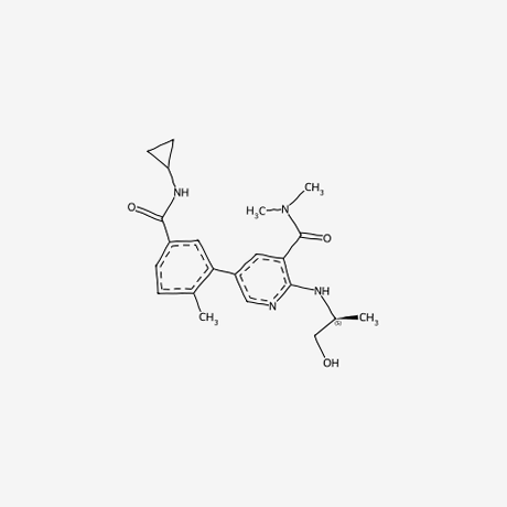 Cc1ccc(C(=O)NC2CC2)cc1-c1cnc(N[C@@H](C)CO)c(C(=O)N(C)C)c1